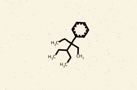 CCC(CC)C(CC)(CC)c1ccccc1